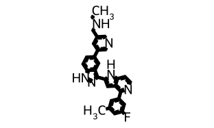 CCNCc1cncc(-c2ccc3[nH]nc(-c4cc5c(-c6cc(C)cc(F)c6)nccc5[nH]4)c3c2)c1